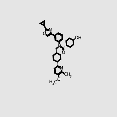 COc1ccc([C@H]2CC[C@H](CN(c3cccc(-c4coc(C5CC5)n4)c3)C(=O)[C@H]3CC[C@H](O)CC3)CC2)nc1C